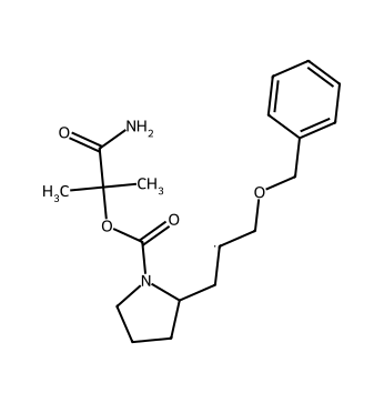 CC(C)(OC(=O)N1CCCC1C[CH]COCc1ccccc1)C(N)=O